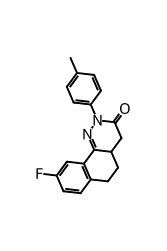 Cc1ccc(N2N=C3c4cc(F)ccc4CCC3CC2=O)cc1